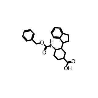 O=C(NC1CCC(C(=O)O)CC1C1CCc2ccccc21)OCc1ccccc1